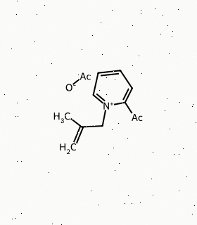 C=C(C)C[n+]1ccccc1C(C)=O.CC(=O)[O-]